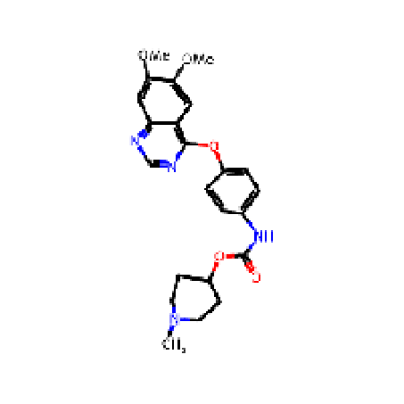 COc1cc2ncnc(Oc3ccc(NC(=O)OC4CCN(C)CC4)cc3)c2cc1OC